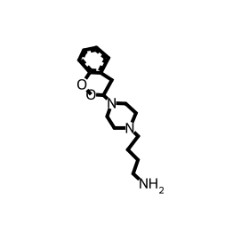 NCCCCN1CCN(C2Cc3ccccc3OO2)CC1